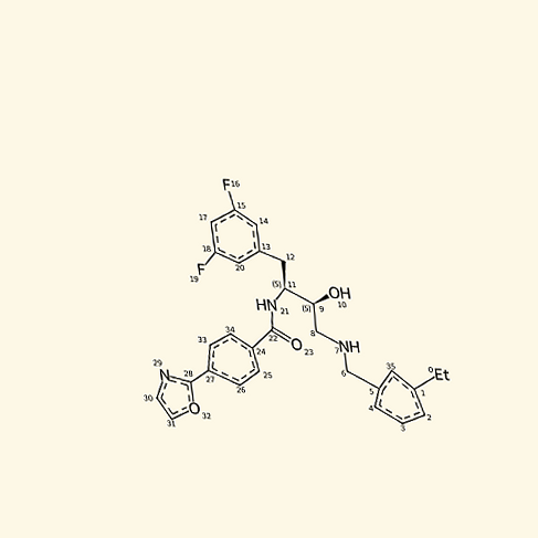 CCc1cccc(CNC[C@H](O)[C@H](Cc2cc(F)cc(F)c2)NC(=O)c2ccc(-c3ncco3)cc2)c1